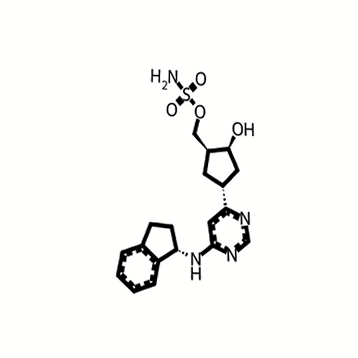 NS(=O)(=O)OC[C@@H]1C[C@@H](c2cc(N[C@H]3CCc4ccccc43)ncn2)C[C@@H]1O